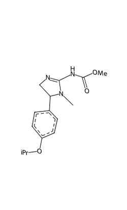 COC(=O)NC1=NCC(c2ccc(OC(C)C)cc2)N1C